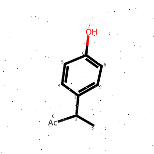 CC(=O)C(C)c1ccc(O)cc1